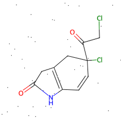 O=C1CC2=C(C=CC(Cl)(C(=O)CCl)C2)N1